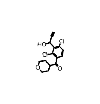 C#CC(O)c1c(Cl)ccc(C(=O)C2CCOCC2)c1Cl